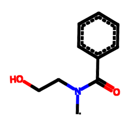 [CH2]N(CCO)C(=O)c1ccccc1